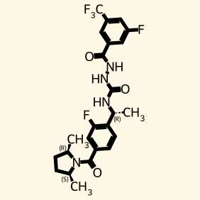 C[C@@H]1CC[C@H](C)N1C(=O)c1ccc([C@@H](C)NC(=O)NNC(=O)c2cc(F)cc(C(F)(F)F)c2)c(F)c1